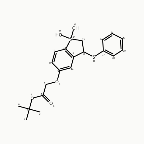 CC(C)(C)OC(=O)COc1ccc2c(c1)C(Sc1ccccc1)CS2(O)O